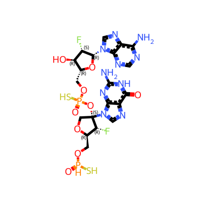 Nc1nc2c(ncn2[C@]2(OP(=O)(S)OC[C@H]3O[C@@H](n4cnc5c(N)ncnc54)[C@@H](F)[C@@H]3O)CO[C@H](CO[PH](=O)S)[C@H]2F)c(=O)[nH]1